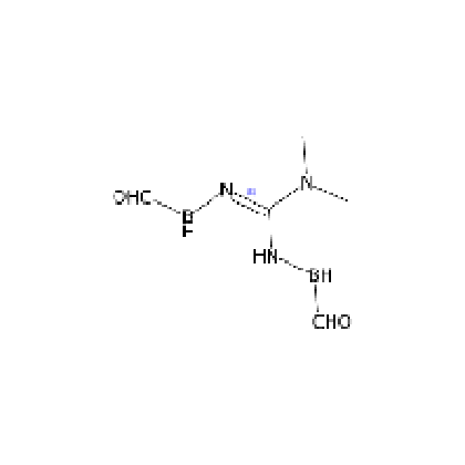 CN(C)/C(=N/BC=O)NBC=O